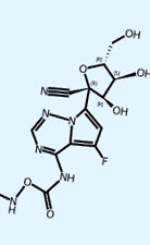 CNOC(=O)Nc1ncnn2c([C@]3(C#N)O[C@H](CO)[C@@H](O)[C@H]3O)cc(F)c12